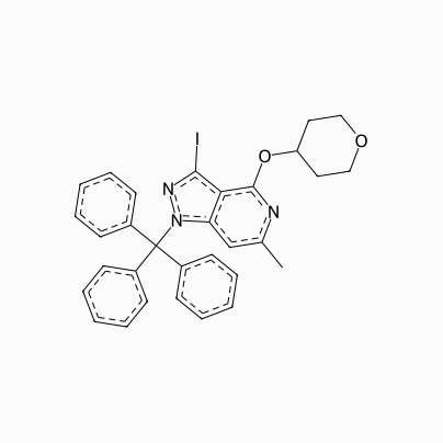 Cc1cc2c(c(I)nn2C(c2ccccc2)(c2ccccc2)c2ccccc2)c(OC2CCOCC2)n1